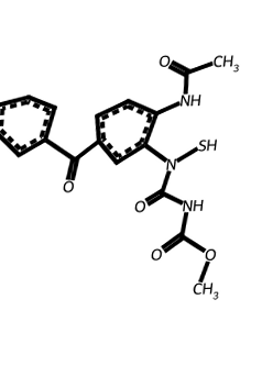 COC(=O)NC(=O)N(S)c1cc(C(=O)c2ccccc2)ccc1NC(C)=O